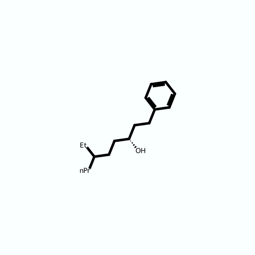 CCCC(CC)CC[C@@H](O)CCc1ccccc1